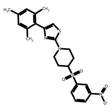 Cc1cc(C)c(-c2csc(N3CCC(S(=O)(=O)c4cccc([N+](=O)[O-])c4)CC3)n2)c(C)c1